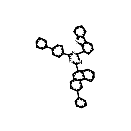 c1ccc(-c2ccc(-c3nc(-c4cc5ccc(-c6ccccc6)cc5c5ccccc45)nc(-c4cccc5c4sc4ccccc45)n3)cc2)cc1